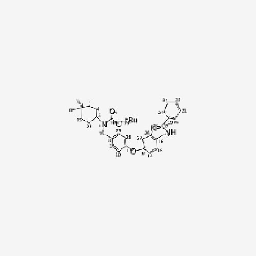 CC1(C)CCC(N(Cc2ccc(Oc3ccc4[nH]c(-c5ccccc5)nc4c3)cc2)C(=O)OC(C)(C)C)CC1